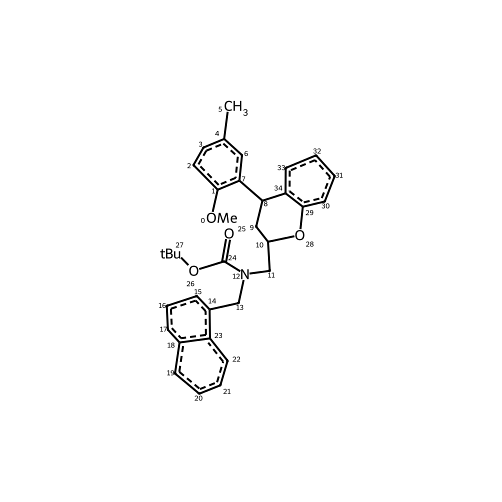 COc1ccc(C)cc1C1CC(CN(Cc2cccc3ccccc23)C(=O)OC(C)(C)C)Oc2ccccc21